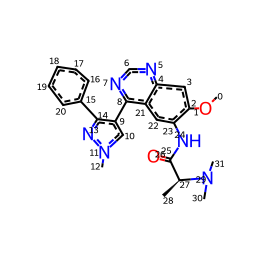 COc1cc2ncnc(-c3cn(C)nc3-c3ccccc3)c2cc1NC(=O)[C@H](C)N(C)C